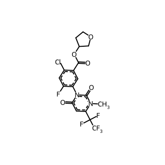 Cn1c(C(F)(F)C(F)(F)F)cc(=O)n(-c2cc(C(=O)OC3CCOC3)c(Cl)cc2F)c1=O